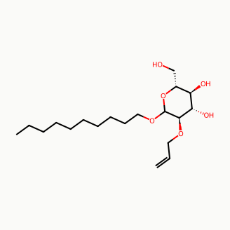 C=CCO[C@H]1C(OCCCCCCCCCC)O[C@H](CO)[C@@H](O)[C@@H]1O